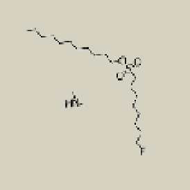 CCCCCCCCCCCOS(=O)(=O)CCCCCCCCF.CNC